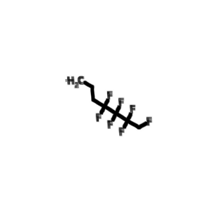 [CH2]CCC(F)(F)C(F)(F)C(F)(F)CF